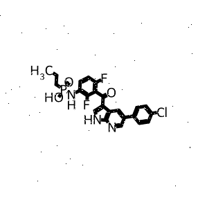 CCCP(=O)(O)Nc1ccc(F)c(C(=O)c2c[nH]c3ncc(-c4ccc(Cl)cc4)cc23)c1F